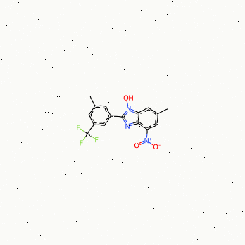 Cc1cc(-c2nc3c([N+](=O)[O-])cc(C)cc3n2O)cc(C(F)(F)F)c1